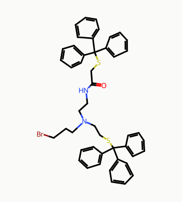 O=C(CSC(c1ccccc1)(c1ccccc1)c1ccccc1)NCCN(CCCBr)CCSC(c1ccccc1)(c1ccccc1)c1ccccc1